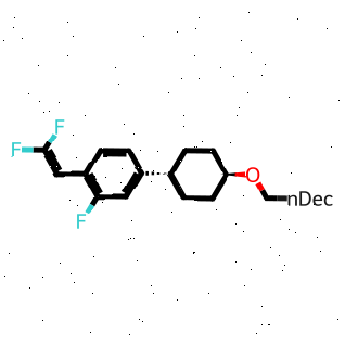 CCCCCCCCCCCO[C@H]1CC[C@H](c2ccc(C=C(F)F)c(F)c2)CC1